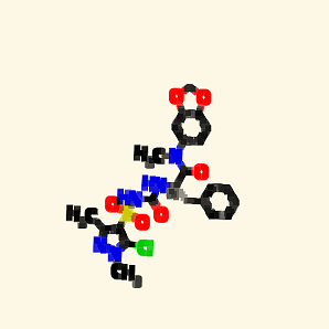 Cc1nn(C)c(Cl)c1S(=O)(=O)NC(=O)N[C@@H](Cc1ccccc1)C(=O)N(C)c1ccc2c(c1)OCO2